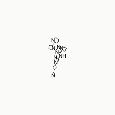 N#CC1CC(n2cnc(Nc3nc(N4CCCC4c4ccccn4)nn4cccc34)c2)C1